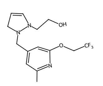 Cc1cc(CN2CC=CN2CCO)cc(OCC(F)(F)F)n1